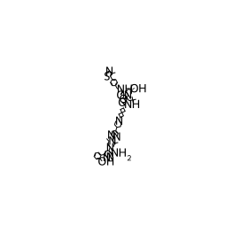 Cc1ncsc1-c1ccc(CNC(=O)[C@@H]2C[C@@H](O)CN2C(=O)[C@@H](NC(=O)[C@H]2CC3(C2)C[C@H](N2CCC(c4cnc(N5C(C)CN(c6cc(-c7ccccc7O)nnc6N)CC5C)nc4)CC2)C3)C(C)(C)C)cc1